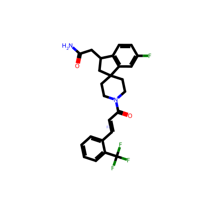 NC(=O)CC1CC2(CCN(C(=O)/C=C/c3ccccc3C(F)(F)F)CC2)c2cc(F)ccc21